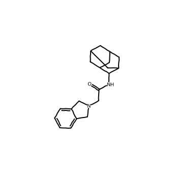 O=C(CN1Cc2ccccc2C1)NC1C2CC3CC(C2)CC1C3